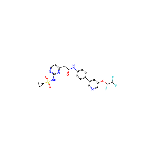 O=C(Cc1ccnc(NS(=O)(=O)C2CC2)n1)Nc1ccc(-c2cncc(OC(F)C(F)F)c2)cc1